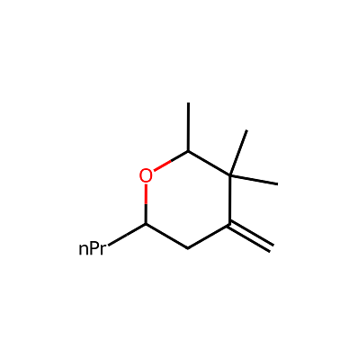 C=C1CC(CCC)OC(C)C1(C)C